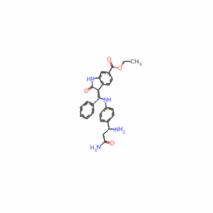 CCOC(=O)c1ccc2c(c1)NC(=O)C2=C(Nc1ccc(C(N)CC(N)=O)cc1)c1ccccc1